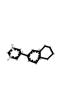 [C]1CCCc2ccc(-c3cncnc3)cc21